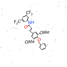 COc1cc(C=CC(=O)Nc2cc(C(F)(F)F)cc(C(F)(F)F)c2)cc(OC)c1OCc1ccccc1